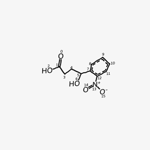 O=C(O)CCC(O)c1ccccc1[N+](=O)[O-]